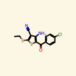 CCSc1sc(C(=O)c2ccc(Cl)cc2)c(N)c1C#N